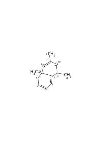 CC1=NC2(C)CC=CC=C2C(C)O1